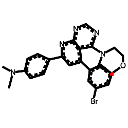 CN(C)c1ccc(-c2cc(-c3cccc(Br)c3)c3c(N4CCOCC4)ncnc3n2)cc1